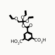 C=COCC(OC=C)(OC=C)OC(=O)c1cc(C(=O)O)cc(C(=O)O)c1